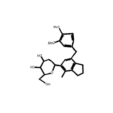 COc1ccc(Cc2cc(C3CC(O)C(O)C(CO)O3)c(C)c3c2CCC3)cc1OC